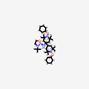 CC(C)(C)N1CCOP1NC1(C2CC(C)(C)N(OC3CCCCC3)C(C)(C)C2)CC(C)(C)N(OC2CCCCC2)C(C)(C)C1